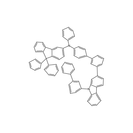 c1ccc(-c2cccc(-n3c4ccccc4c4ccc(-c5cccc(-c6ccc(N(c7ccccc7)c7ccc8c(c7)-c7ccccc7C8(c7ccccc7)c7ccccc7)cc6)c5)cc43)c2)cc1